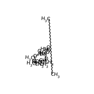 CCCCCCCCCCCCCCCCCCC(CCCCCCCCCCCCCCCCC)OC(=O)N[C@H](CCC(=O)NCCOC(C)COC(C)(C)C)C(=O)NCCOC(C)COC(C)(C)C